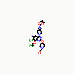 COCCN1CCC(Oc2nc(N3CCC4(CC3)CN(C(=O)OC(C)(C)C)C4)c3cc(I)c(Br)c(OCC(F)(F)F)c3n2)CC1